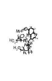 C=C[C@H]1C[N@]2CC[C@H]1C[C@H]2[C@H](O)c1ccnc2ccc(OC)cc12.O=S(=O)(O)OS(=O)(=O)O